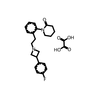 O=C(O)C(=O)O.O=C1CCCCN1c1ccccc1CCN1CC(c2ccc(F)cc2)C1